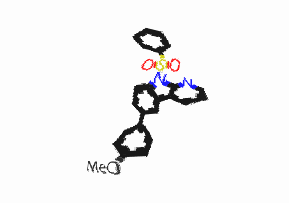 COc1ccc(-c2ccc3c(c2)c2cccnc2n3S(=O)(=O)c2ccccc2)cc1